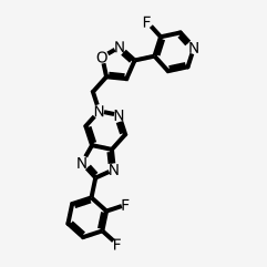 Fc1cnccc1-c1cc(Cn2cc3nc(-c4cccc(F)c4F)nc-3cn2)on1